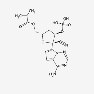 CC(C)C(=O)OC[C@@H]1C[C@@H](OP(=O)(O)O)[C@](C#N)(c2ccc3c(N)ncnn23)O1